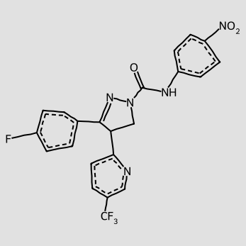 O=C(Nc1ccc([N+](=O)[O-])cc1)N1CC(c2ccc(C(F)(F)F)cn2)C(c2ccc(F)cc2)=N1